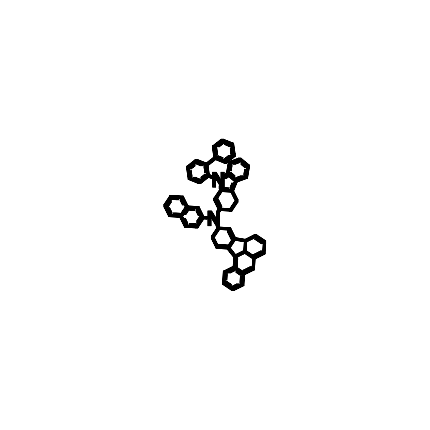 C1=CC2C3=CC(N(C4=Cc5c(c6ccccc6n5-c5ccccc5-c5ccccc5)CC4)c4ccc5ccccc5c4)CC=C3C3=c4ccccc4=CC(=C1)C32